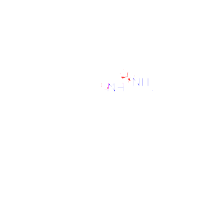 CCCCCCCCCCCCCCCCCCCC(=O)NCCCC(=O)OC(=O)CN